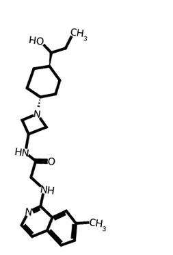 CCC(O)[C@H]1CC[C@H](N2CC(NC(=O)CNc3nccc4ccc(C)cc34)C2)CC1